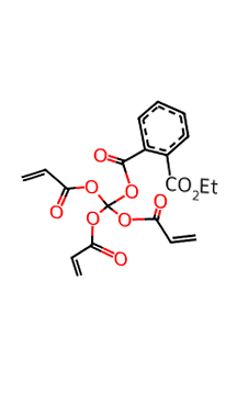 C=CC(=O)OC(OC(=O)C=C)(OC(=O)C=C)OC(=O)c1ccccc1C(=O)OCC